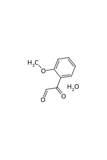 COc1ccccc1C(=O)C=O.O